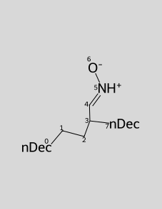 CCCCCCCCCCCCC(C=[NH+][O-])CCCCCCCCCC